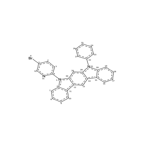 Brc1ccc(-n2c3ccccc3c3cc4c5ccccc5n(-c5ccccc5)c4cc32)nc1